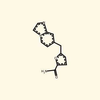 NC(=O)c1ccc(Cc2ccn3ccnc3c2)o1